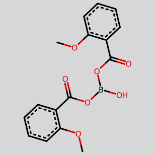 COc1ccccc1C(=O)OB(O)OC(=O)c1ccccc1OC